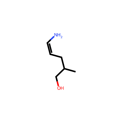 CC(CO)C/C=C\N